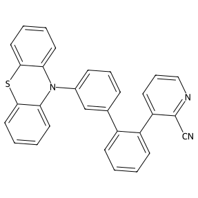 N#Cc1ncccc1-c1ccccc1-c1cccc(N2c3ccccc3Sc3ccccc32)c1